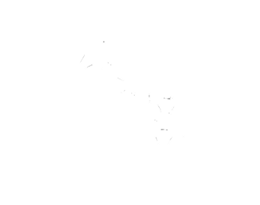 O=C(/C=C/CN(CCO)Cc1ccco1)N1CCc2c(sc3ncnc(Nc4ccc(F)c(Cl)c4)c23)C1